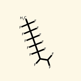 CC(F)(F)C(F)(F)C(F)(F)C(F)(F)C(F)(F)C(F)[C](F)F